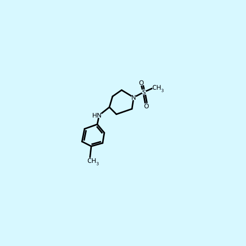 Cc1ccc(NC2CCN(S(C)(=O)=O)CC2)cc1